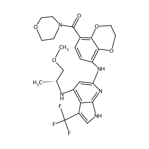 COC[C@@H](C)Nc1cc(Nc2ccc(C(=O)N3CCOCC3)c3c2OCCO3)nc2[nH]cc(C(F)(F)F)c12